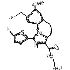 COc1cc2c(cc1CC(C)C)-n1c(-c3ccc(F)s3)nc(C(=O)NCC(C)(C)C)c1CC2